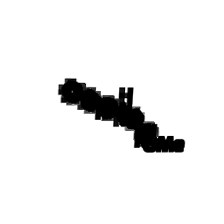 COc1ncc(-c2ccc3[nH]c(-c4ccc(-c5ccc(C6CCCCC6)cc5)nc4)nc3c2)cn1